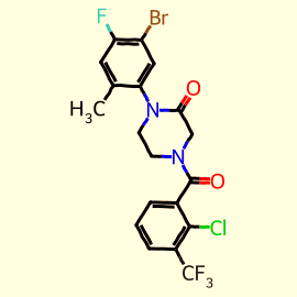 Cc1cc(F)c(Br)cc1N1CCN(C(=O)c2cccc(C(F)(F)F)c2Cl)CC1=O